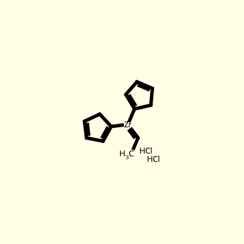 C[CH]=[Zr]([C]1=CC=CC1)[C]1=CC=CC1.Cl.Cl